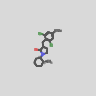 COc1cc(Cl)c(CC2CCN([C@@H]3CCCC[C@@H]3C)C2=O)c(Cl)c1